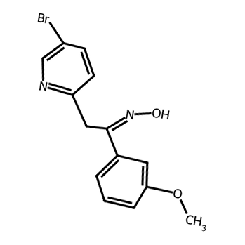 COc1cccc(/C(Cc2ccc(Br)cn2)=N\O)c1